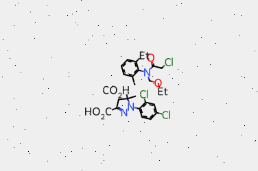 CC1(C(=O)O)CC(C(=O)O)=NN1c1ccc(Cl)cc1Cl.CCOCN(C(=O)CCl)c1c(C)cccc1CC